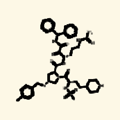 Cc1ccc(CO[C@@H]2C[C@@H](C(=O)N[C@@H](CCCNC(=N)N)C(=O)C(=O)NC(c3ccccc3)c3ccccc3)N(C(=O)[C@@H](CCC3CCNCC3)NS(C)(=O)=O)C2)cc1